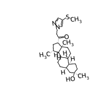 CSc1cnn(CC(=O)[C@H]2C[C@@H](C)[C@H]3[C@@H]4CC[C@@H]5C[C@](C)(O)CC[C@@H]5[C@H]4CC[C@@]32C)c1